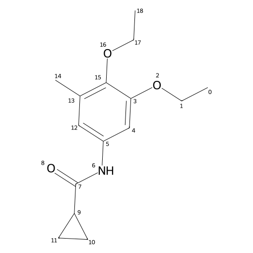 CCOc1cc(NC(=O)C2CC2)cc(C)c1OCC